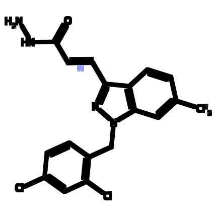 NNC(=O)/C=C/c1nn(Cc2ccc(Cl)cc2Cl)c2cc(C(F)(F)F)ccc12